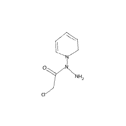 NN(C(=O)CCl)N1C=CC=CC1